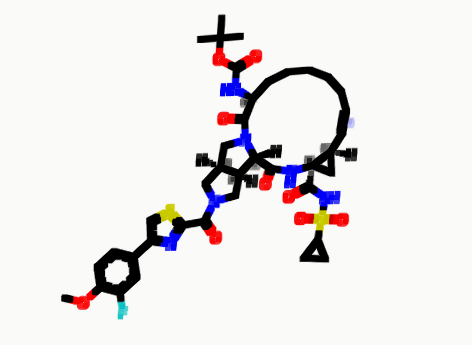 COc1ccc(-c2csc(C(=O)N3C[C@H]4CN5C(=O)[C@@H](NC(=O)OC(C)(C)C)CCCCC/C=C\[C@H]6C[C@@]6(C(=O)NS(=O)(=O)C6CC6)NC(=O)[C@@H]5[C@H]4C3)n2)cc1F